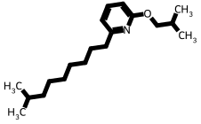 CC(C)CCCCCCCc1cccc(OCC(C)C)n1